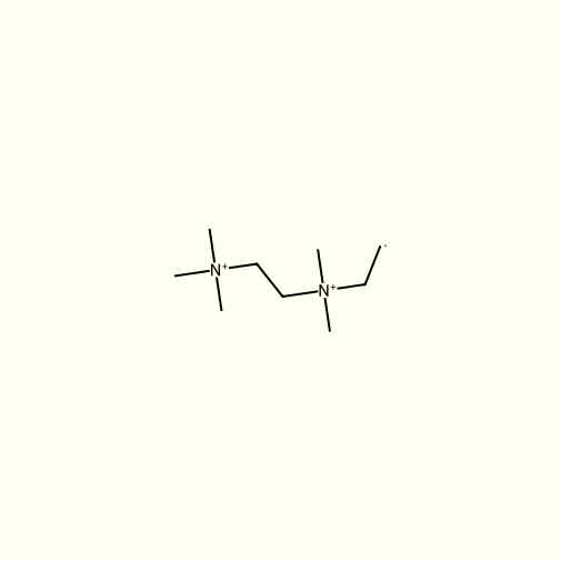 [CH2]C[N+](C)(C)CC[N+](C)(C)C